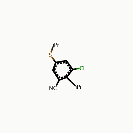 CC(C)Sc1cc(Cl)c(C(C)C)c(C#N)c1